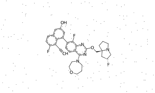 C#Cc1c(F)ccc2cc(O)cc(-c3ccc4c(N5CCCOCC5)nc(OC[C@@]56CCCN5C[C@H](F)C6)nc4c3F)c12